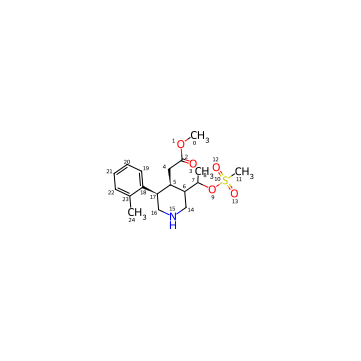 COC(=O)C[C@H]1C(C(C)OS(C)(=O)=O)CNC[C@H]1c1ccccc1C